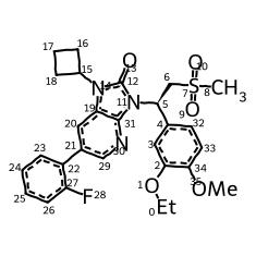 CCOc1cc([C@H](CS(C)(=O)=O)n2c(=O)n(C3CCC3)c3cc(-c4ccccc4F)cnc32)ccc1OC